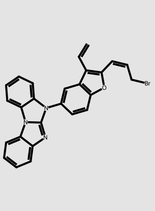 C=Cc1c(/C=C\CBr)oc2ccc(-n3c4ccccc4n4c5ccccc5nc34)cc12